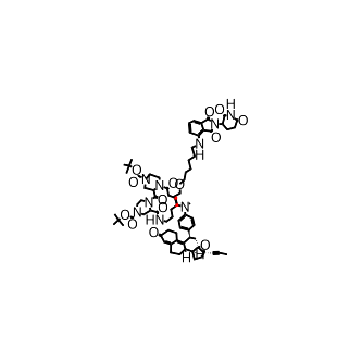 CC#C[C@]12CC[C@H]3[C@@H]4CCC5=CC(=O)CCC5=C4[C@@H](c4ccc(N(C)CCCC(=O)N5CCN(C(=O)OC(C)(C)C)CC5C(=O)N5CCN(C(=O)OC(C)(C)C)CC5C(=O)NCCCCCCOCCCCCCNc5cccc6c5C(=O)N(C5CCC(=O)NC5=O)C6=O)cc4)C[C@@]31O2